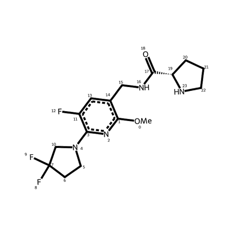 COc1nc(N2CCC(F)(F)C2)c(F)cc1CNC(=O)[C@@H]1CCCN1